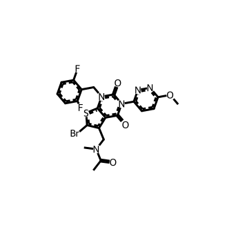 COc1ccc(-n2c(=O)c3c(CN(C)C(C)=O)c(Br)sc3n(Cc3c(F)cccc3F)c2=O)nn1